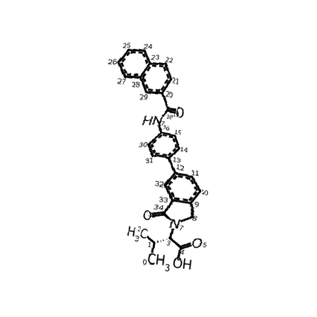 CC(C)[C@@H](C(=O)O)N1Cc2ccc(-c3ccc(NC(=O)c4ccc5ccccc5c4)cc3)cc2C1=O